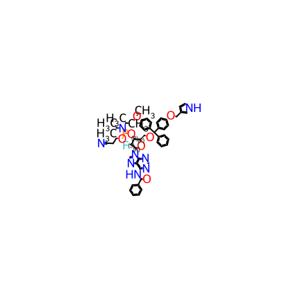 COc1ccc(C(OC[C@H]2O[C@@H](n3cnc4c(NC(=O)c5ccccc5)ncnc43)[C@@H](F)[C@@H]2OP(OCCC#N)N(C(C)C)C(C)C)(c2ccccc2)c2ccc(OCc3cc[nH]c3)cc2)cc1